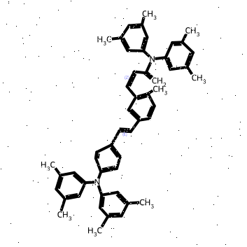 C=C(/C=C\c1cc(/C=C/c2ccc(N(c3cc(C)cc(C)c3)c3cc(C)cc(C)c3)cc2)ccc1C)N(c1cc(C)cc(C)c1)c1cc(C)cc(C)c1